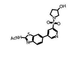 CC(=O)Nc1nc2ccc(-c3cncc(S(=O)(=O)N4CCC(O)C4)c3)cc2s1